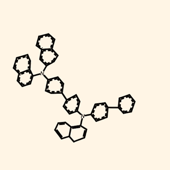 C1=CC2=C(N(c3ccc(-c4ccccc4)cc3)c3ccc(-c4ccc(N(c5ccc6ccccc6c5)c5cccc6ccccc56)cc4)cc3)C=CCC2C=C1